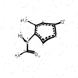 Cc1cc(Cl)ccc1N(S)C(N)=O